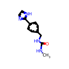 CNC(=O)NCc1ccc(-c2ncc[nH]2)cc1